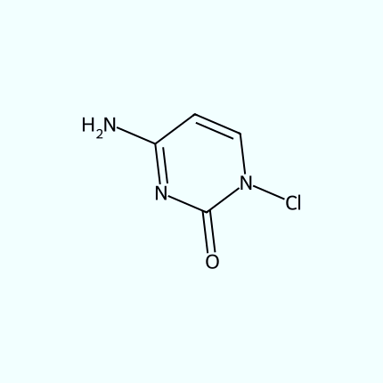 Nc1ccn(Cl)c(=O)n1